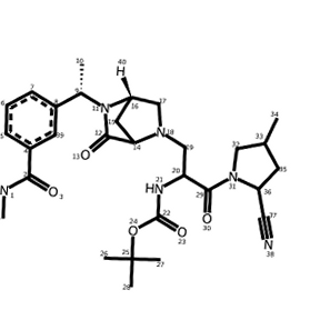 CNC(=O)c1cccc([C@H](C)N2C(=O)C3C[C@H]2CN3CC(NC(=O)OC(C)(C)C)C(=O)N2CC(C)CC2C#N)c1